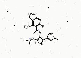 CC/C(C)=C/c1[nH]nc(-c2cnn(C)c2)c1/C=C(\C)c1c(F)ccc(CNC)c1C(F)(F)F